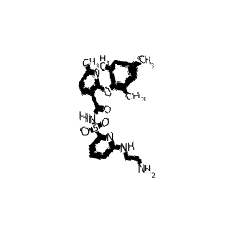 Cc1cc(C)c(Oc2nc(C)ccc2C(=O)NS(=O)(=O)c2cccc(NCCN)n2)c(C)c1